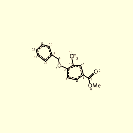 COC(=O)c1ccc(OCc2ccccc2)c(C(F)(F)F)c1